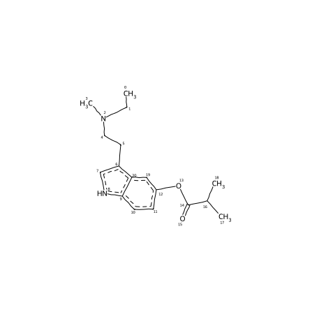 CCN(C)CCc1c[nH]c2ccc(OC(=O)C(C)C)cc12